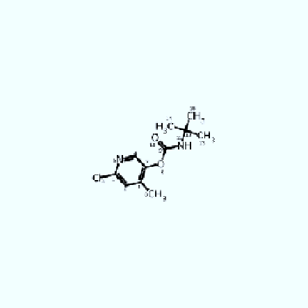 Cc1cc(Cl)ncc1OC(=O)NC(C)(C)C